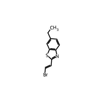 CCc1ccc2nc(C=CBr)sc2c1